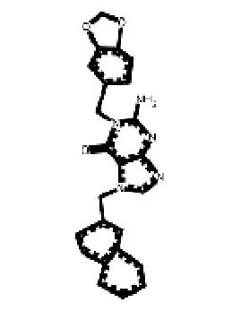 Nc1nc2ncn(Cc3ccc4ccccc4c3)c2c(=O)n1Cc1ccc2c(c1)OCO2